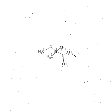 [CH2]O[Si](C)(C)C(C)C